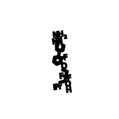 CC(C)CC(O)C(F)(F)CCOc1cccc(-c2ccn3nc(N)nc3c2)c1F